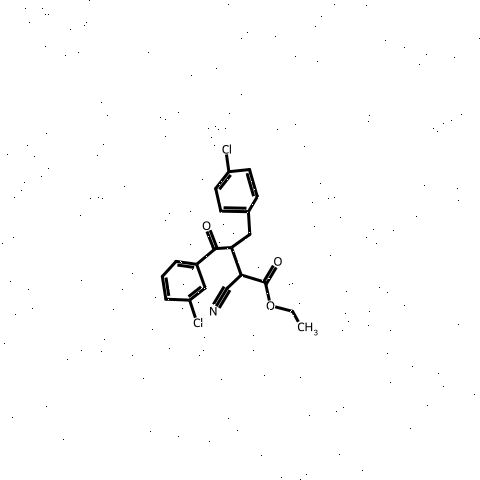 CCOC(=O)C(C#N)C(Cc1ccc(Cl)cc1)C(=O)c1cccc(Cl)c1